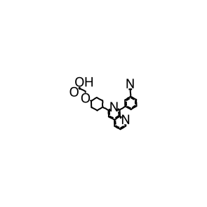 N#Cc1cccc(-c2nc(C3CCC(OCC(=O)O)CC3)cc3cccnc23)c1